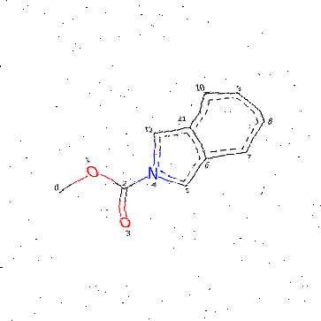 COC(=O)n1cc2ccccc2c1